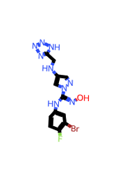 ON=C(Nc1ccc(F)c(Br)c1)n1cc(NCc2nnn[nH]2)cn1